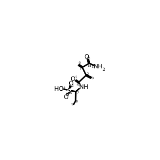 C=C(C(=C)C(=O)NC(CC)S(=O)(=O)O)C(N)=O